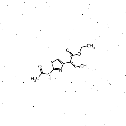 CC=C(C(=O)OCC)c1csc(NC(C)=O)n1